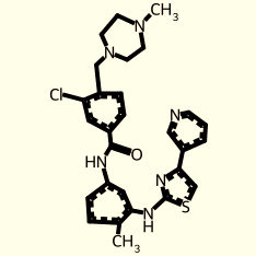 Cc1ccc(NC(=O)c2ccc(CN3CCN(C)CC3)c(Cl)c2)cc1Nc1nc(-c2cccnc2)cs1